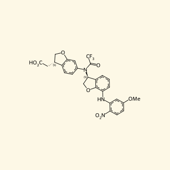 COc1ccc([N+](=O)[O-])c(Nc2cccc3c2OC[C@H]3N(C(=O)C(F)(F)F)c2ccc3c(c2)OC[C@H]3CC(=O)O)c1